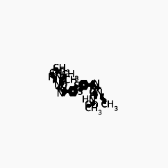 CCCCN(Cc1ncc(-c2ccc3c(c2)Sc2ccc(-c4cnc(CN(CCCC)C(=O)[C@@H](NC(=O)OC)C(C)C)[nH]4)cc2S3)[nH]1)C(=O)CNC(=O)OC